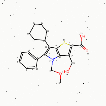 COCn1c(-c2ccccc2)c(C2CCCCC2)c2sc(C(=O)O)c(CO)c21